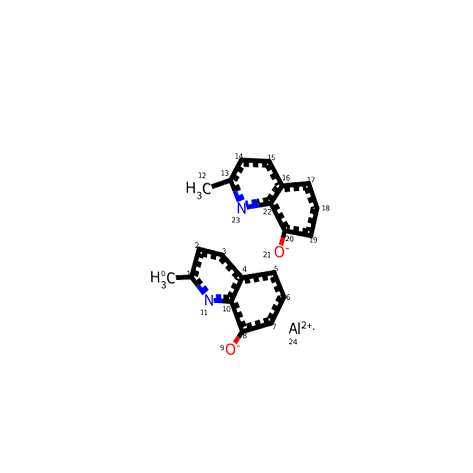 Cc1ccc2cccc([O-])c2n1.Cc1ccc2cccc([O-])c2n1.[Al+2]